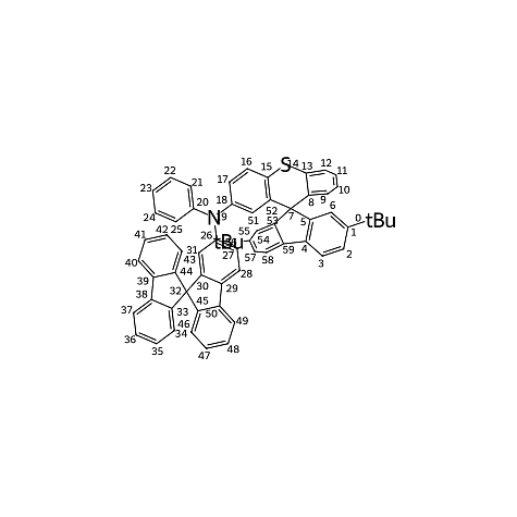 CC(C)(C)c1ccc2c(c1)C1(c3ccccc3Sc3ccc(N(c4ccccc4)c4ccc5c(c4)C4(c6ccccc6-c6ccccc64)c4ccccc4-5)cc31)c1cc(C(C)(C)C)ccc1-2